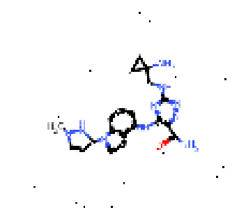 CN1C=CC(n2ccc3c(Nc4nc(NCC5(N)CC5)nnc4C(N)=O)cccc32)N1